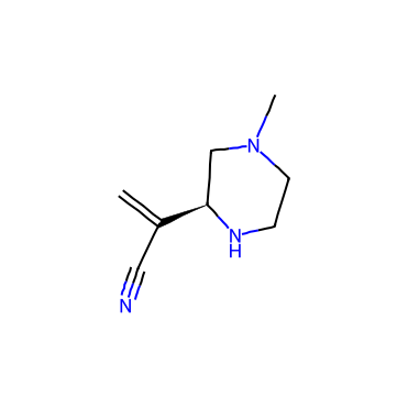 C=C(C#N)[C@H]1CN(C)CCN1